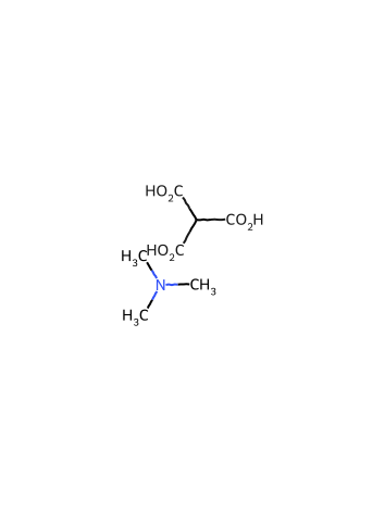 CN(C)C.O=C(O)C(C(=O)O)C(=O)O